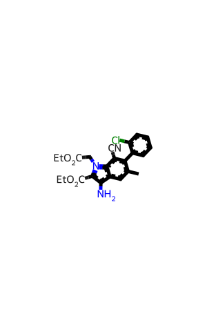 CCOC(=O)Cn1c(C(=O)OCC)c(N)c2cc(C)c(-c3ccccc3Cl)c(C#N)c21